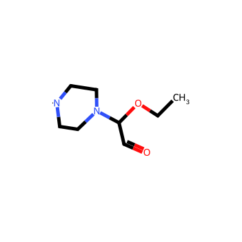 CCOC(C=O)N1CC[N]CC1